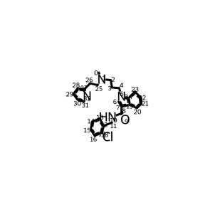 CN(CCCn1cc(C(=O)NCc2ccccc2Cl)c2ccccc21)CCc1ccccn1